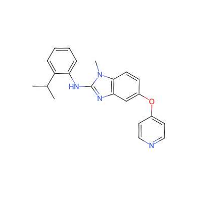 CC(C)c1ccccc1Nc1nc2cc(Oc3ccncc3)ccc2n1C